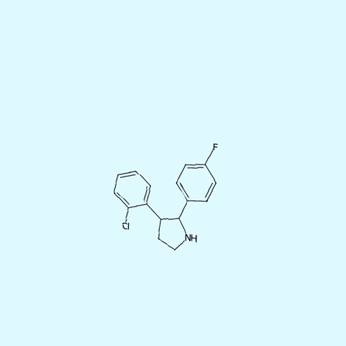 Fc1ccc(C2NCCC2c2ccccc2Cl)cc1